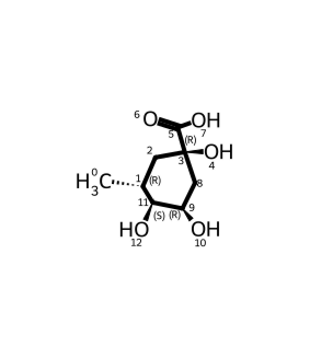 C[C@@H]1C[C@](O)(C(=O)O)C[C@@H](O)[C@H]1O